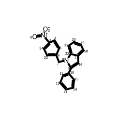 O=[N+]([O-])c1ccc(Cn2c(-c3ccccc3)cc3ccccc32)cc1